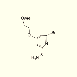 COCCOc1cc(Br)nc(SN)c1